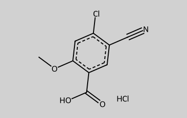 COc1cc(Cl)c(C#N)cc1C(=O)O.Cl